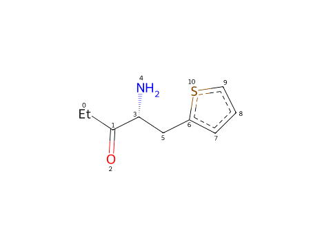 CCC(=O)[C@H](N)Cc1cccs1